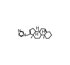 C[C@]12CCCCC1=CC[C@@H]1[C@@H]2CC[C@]2(C)C(Cn3ccnc3)=CC[C@@H]12